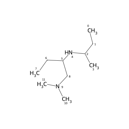 CCC(C)NC(CC)CN(C)C